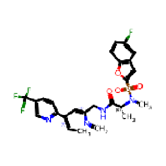 C=N/C(=C\C(=C/C)c1ccc(C(F)(F)F)cn1)CNC(=O)[C@@H](C)N(C)S(=O)(=O)c1cc2cc(F)ccc2o1